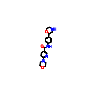 O=C(Nc1ccc(C2CNCCO2)cc1)c1ccc(N2CCOCC2)nc1